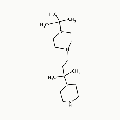 CC(C)(C)N1CCN(CCC(C)(C)N2CCNCC2)CC1